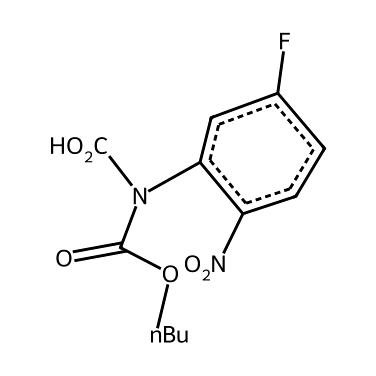 CCCCOC(=O)N(C(=O)O)c1cc(F)ccc1[N+](=O)[O-]